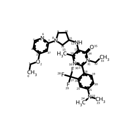 CCOc1ccnc(N2CCC(Nc3c(C)nc(-c4ccc(N(C)C)cc4C(F)(F)F)n(CC)c3=O)C2)c1